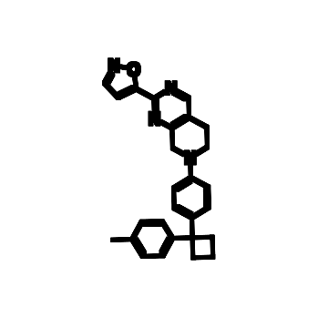 Cc1ccc(C2(c3ccc(N4CCc5cnc(-c6ccno6)nc5C4)cc3)CCC2)cc1